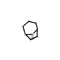 [C]1CCC2CCC1N2